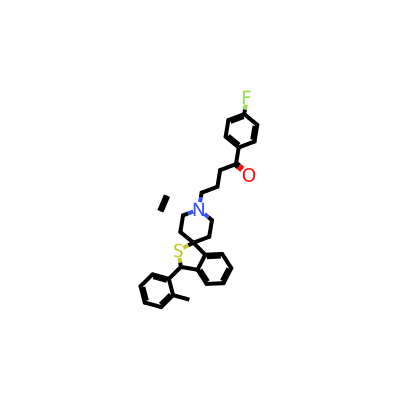 C=C.Cc1ccccc1C1SC2(CCN(CCCC(=O)c3ccc(F)cc3)CC2)c2ccccc21